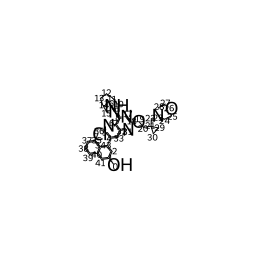 Oc1cc(-c2cnc3c(N4CC5CCC(C4)N5)nc(OCC4(CN5CCOCC5)CC4)nc3c2)c2c(Cl)cccc2c1